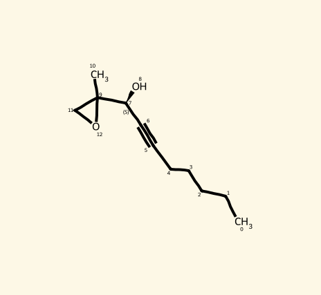 CCCCCC#C[C@H](O)C1(C)CO1